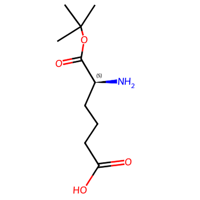 CC(C)(C)OC(=O)[C@@H](N)CCCC(=O)O